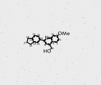 COc1ccc2c(CO)cc(-c3ccc4c(c3)CCC4)nc2c1